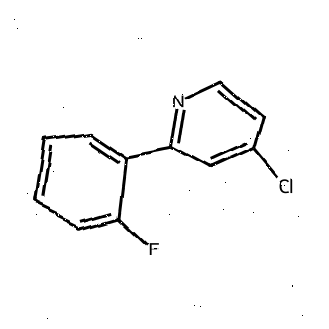 Fc1ccccc1-c1cc(Cl)ccn1